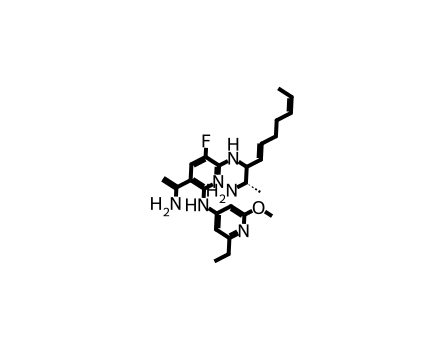 C=C(N)c1cc(F)c(NC(/C=C/CC/C=C\C)[C@H](C)N)nc1Nc1cc(CC)nc(OC)c1